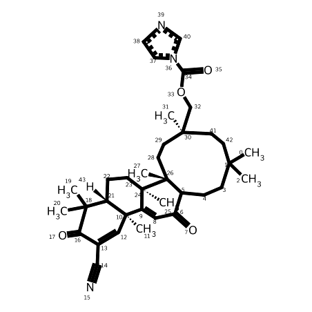 CC1(C)CCC2C(=O)C=C3[C@@]4(C)C=C(C#N)C(=O)C(C)(C)[C@@H]4CC[C@@]3(C)[C@]2(C)CC[C@@](C)(COC(=O)n2ccnc2)CC1